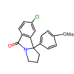 COc1ccc(C23CCCN2C(=O)c2ccc(Cl)cc23)cc1